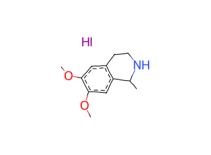 COc1cc2c(cc1OC)C(C)NCC2.I